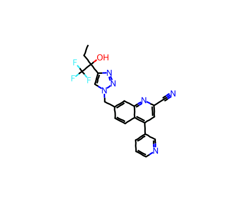 CCC(O)(c1cn(Cc2ccc3c(-c4cccnc4)cc(C#N)nc3c2)nn1)C(F)(F)F